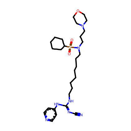 N#C/N=C(\NCCCCCCCCN(CCCN1CCOCC1)S(=O)(=O)C1CCCCC1)Nc1ccncc1